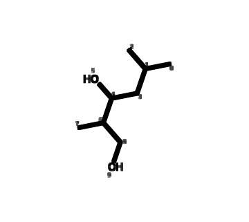 CC(C)CC(O)C(C)CO